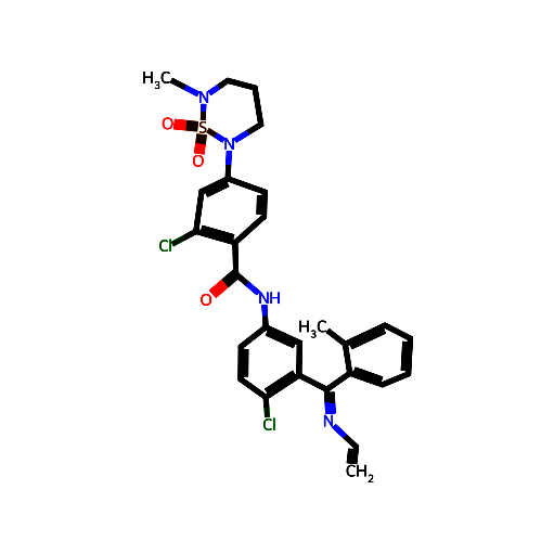 C=C/N=C(\c1ccccc1C)c1cc(NC(=O)c2ccc(N3CCCN(C)S3(=O)=O)cc2Cl)ccc1Cl